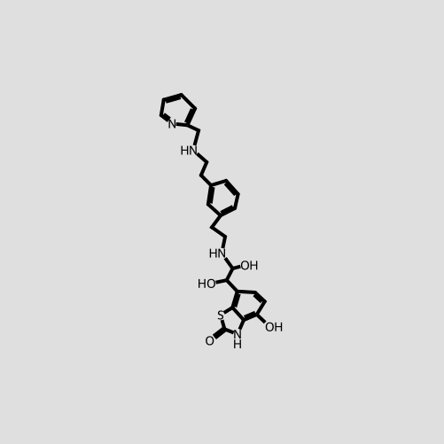 O=c1[nH]c2c(O)ccc(C(O)C(O)NCCc3cccc(CCNCc4ccccn4)c3)c2s1